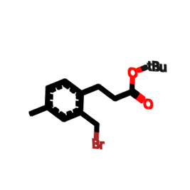 Cc1ccc(CCC(=O)OC(C)(C)C)c(CBr)c1